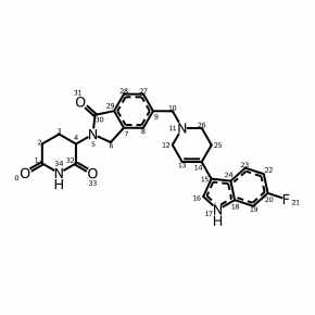 O=C1CCC(N2Cc3cc(CN4CC=C(c5c[nH]c6cc(F)ccc56)CC4)ccc3C2=O)C(=O)N1